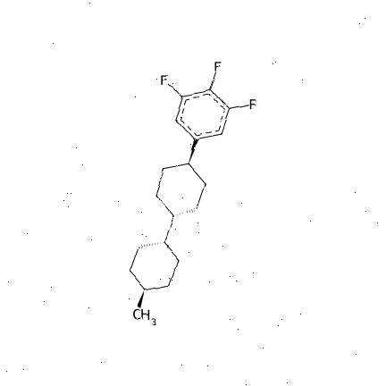 C[C@H]1CC[C@H]([C@H]2CC[C@H](c3cc(F)c(F)c(F)c3)CC2)CC1